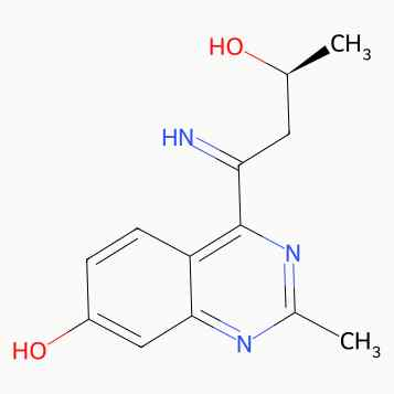 Cc1nc(C(=N)C[C@H](C)O)c2ccc(O)cc2n1